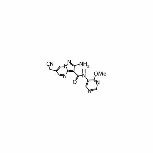 COc1ncncc1NC(=O)c1c(N)nn2cc(CC#N)cnc12